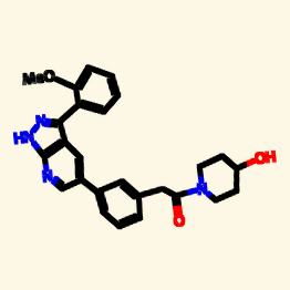 COc1ccccc1-c1n[nH]c2ncc(-c3cccc(CC(=O)N4CCC(O)CC4)c3)cc12